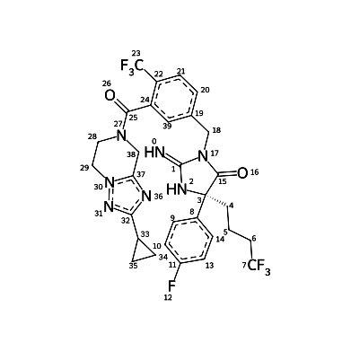 N=C1N[C@](CCCC(F)(F)F)(c2ccc(F)cc2)C(=O)N1Cc1ccc(C(F)(F)F)c(C(=O)N2CCn3nc(C4CC4)nc3C2)c1